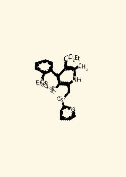 CCOC(=O)C1=C(C)NC(C[S+]([O-])c2ccccn2)=C(C(=O)OCC)C1c1ccccc1C(F)(F)F